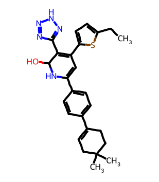 CCc1ccc(C2=C(c3nn[nH]n3)C(O)NC(c3ccc(C4=CCC(C)(C)CC4)cc3)=C2)s1